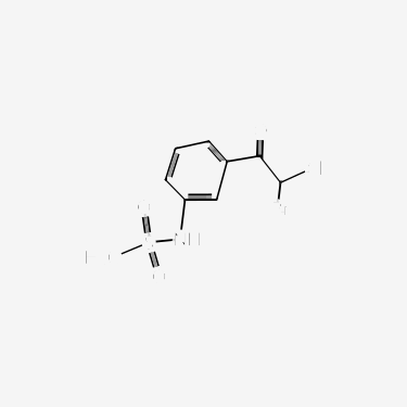 CS(=O)(=O)Nc1cccc(C(=O)C(Cl)Br)c1